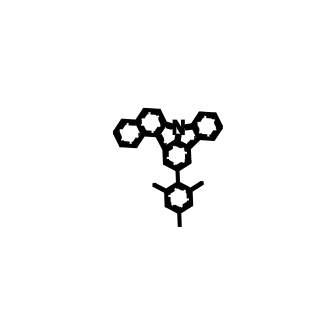 Cc1cc(C)c(-c2cc3c4ccccc4n4c5ccc6ccccc6c5c(c2)c34)c(C)c1